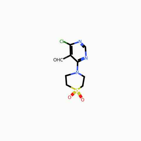 O=Cc1c(Cl)ncnc1N1CCS(=O)(=O)CC1